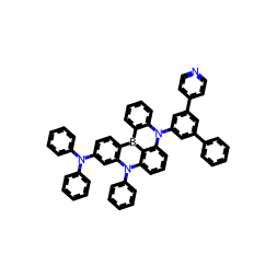 c1ccc(-c2cc(-c3ccncc3)cc(N3c4ccccc4B4c5ccc(N(c6ccccc6)c6ccccc6)cc5N(c5ccccc5)c5cccc3c54)c2)cc1